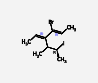 C/C=C(Br)/C(=C/C)C(C)[C@H](C)I